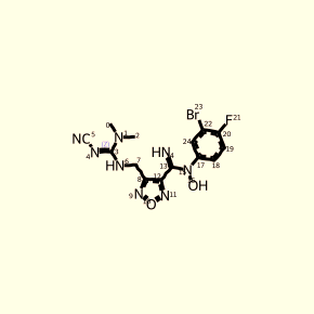 CN(C)/C(=N\C#N)NCc1nonc1C(=N)N(O)c1ccc(F)c(Br)c1